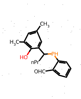 CCCC(Pc1ccccc1C=O)c1cc(C)cc(C)c1O